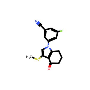 CSc1cn(-c2cc(F)cc(C#N)c2)c2c1C(=O)CCC2